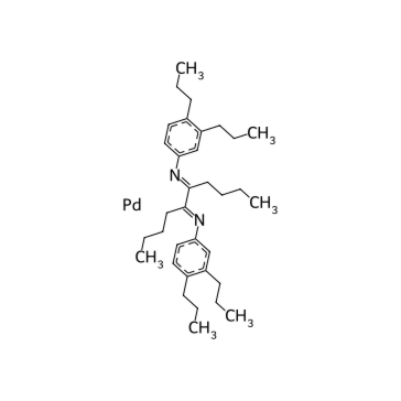 CCCCC(=Nc1ccc(CCC)c(CCC)c1)C(CCCC)=Nc1ccc(CCC)c(CCC)c1.[Pd]